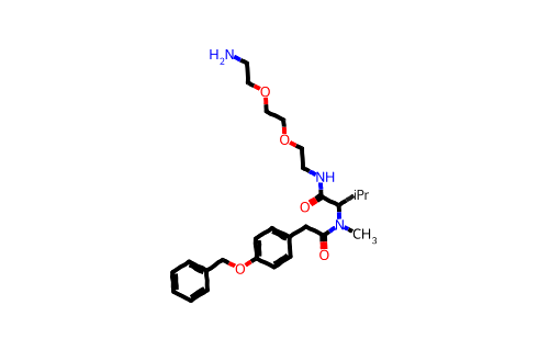 CC(C)C(C(=O)NCCOCCOCCN)N(C)C(=O)Cc1ccc(OCc2ccccc2)cc1